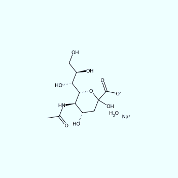 CC(=O)N[C@H]1[C@H]([C@H](O)[C@H](O)CO)OC(O)(C(=O)[O-])C[C@@H]1O.O.[Na+]